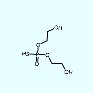 O=P(S)(OCCO)OCCO